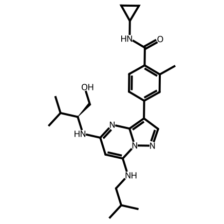 Cc1cc(-c2cnn3c(NCC(C)C)cc(N[C@H](CO)C(C)C)nc23)ccc1C(=O)NC1CC1